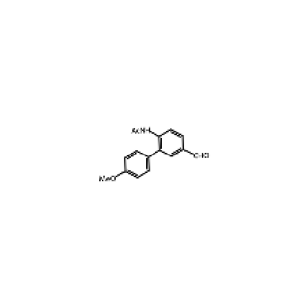 COc1ccc(-c2cc(C=O)ccc2NC(C)=O)cc1